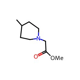 COC(=O)CN1CCC(C)CC1